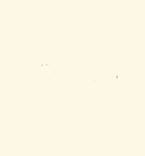 C=CCOC(CCCCCC)COc1ccc(C(N)=O)cc1